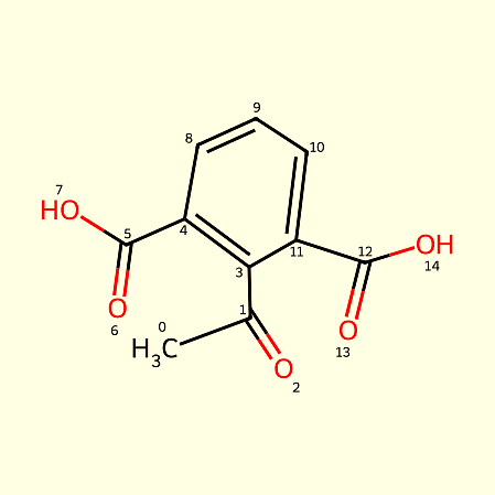 CC(=O)c1c(C(=O)O)cccc1C(=O)O